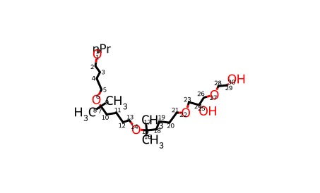 CCCOCCCCOC(C)(C)CCCCOC(C)(C)CCCCOCC(O)COCCO